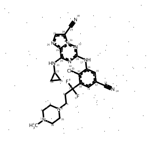 CN1CCN(CCC(F)(F)c2cc(C#N)cc(Nc3nc(NC4CC4)c4ncc(C#N)n4n3)c2Cl)CC1